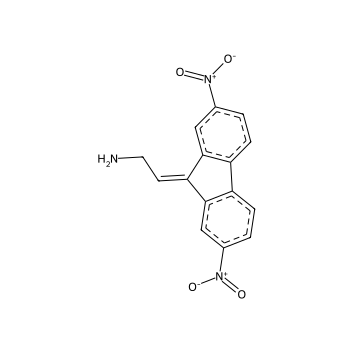 NCC=C1c2cc([N+](=O)[O-])ccc2-c2ccc([N+](=O)[O-])cc21